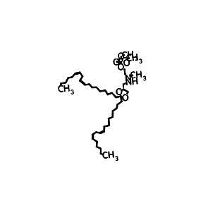 CCCCC/C=C\C/C=C\CCCCCCCCC1(CCCCCCCC/C=C\C/C=C\CCCCC)OC[C@H](CNN(C)CCOP(=O)(OC)OC)O1